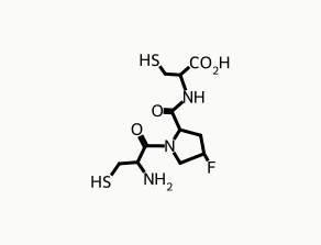 NC(CS)C(=O)N1CC(F)CC1C(=O)NC(CS)C(=O)O